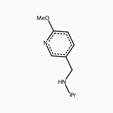 COc1ccc(CNC(C)C)cn1